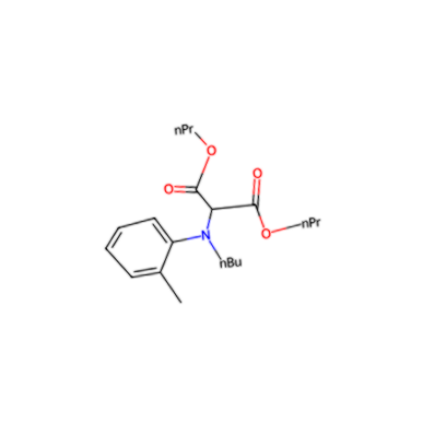 CCCCN(c1ccccc1C)C(C(=O)OCCC)C(=O)OCCC